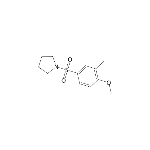 COc1ccc(S(=O)(=O)N2CCCC2)cc1C